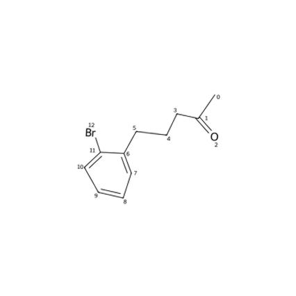 CC(=O)CCCc1ccccc1Br